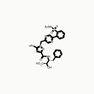 CCCc1cc(C(=O)N[C@H](Cc2ccccc2)[C@@H](O)C(=O)O)nn1Cc1cnc(-c2ccccc2S(=O)(=O)NC(C)=O)cn1